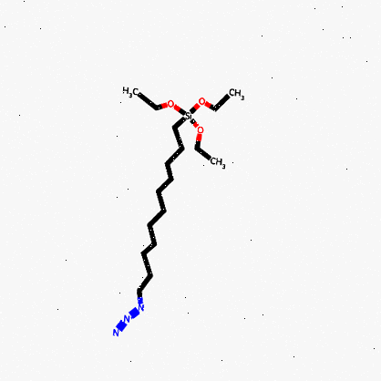 CCO[Si](CCCCCCCCCCCN=[N+]=[N-])(OCC)OCC